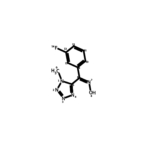 Cn1nnnc1C(=NO)c1cccc(F)c1